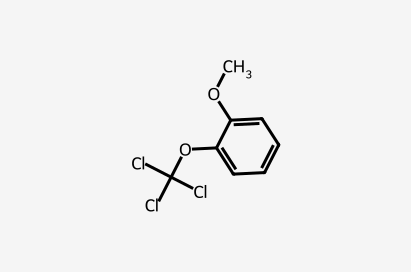 COc1ccccc1OC(Cl)(Cl)Cl